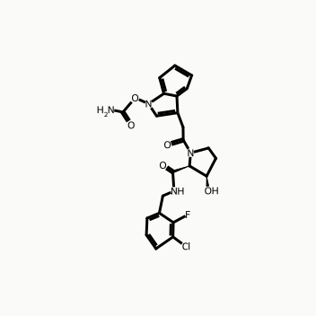 NC(=O)On1cc(CC(=O)N2CC[C@@H](O)[C@H]2C(=O)NCc2cccc(Cl)c2F)c2ccccc21